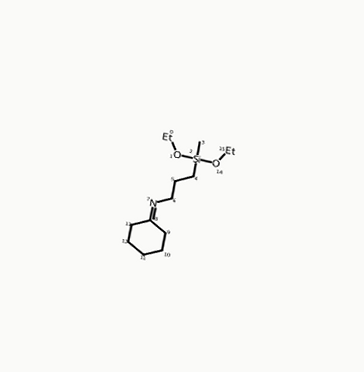 CCO[Si](C)(CCCN=C1CCCCC1)OCC